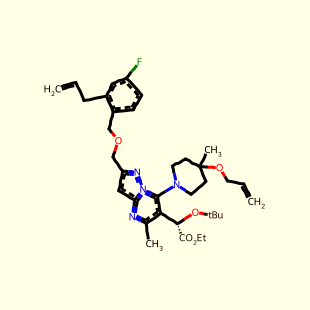 C=CCOC1(C)CCN(c2c([C@H](OC(C)(C)C)C(=O)OCC)c(C)nc3cc(COCc4ccc(F)cc4CC=C)nn23)CC1